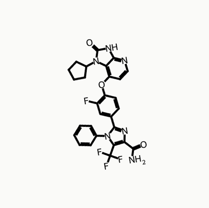 NC(=O)c1nc(-c2ccc(Oc3ccnc4[nH]c(=O)n(C5CCCC5)c34)c(F)c2)n(-c2ccccc2)c1C(F)(F)F